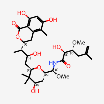 C=C(C)C[C@@H](OC)[C@H](O)C(=O)N[C@@H](OC)[C@@H]1C[C@@H](O)C(C)(C)[C@@H](C[C@H](O)C(C)[C@H]2Cc3c(C)c(O)cc(O)c3C(=O)O2)O1